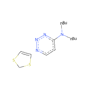 C1=CSCS1.CCCCN(CCCC)c1ccnnn1